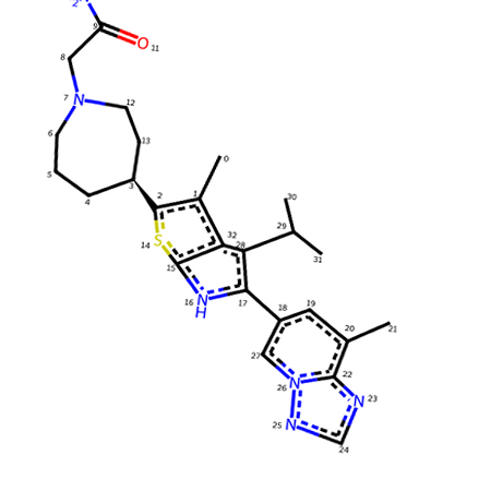 Cc1c([C@H]2CCCN(CC(N)=O)CC2)sc2[nH]c(-c3cc(C)c4ncnn4c3)c(C(C)C)c12